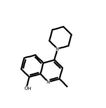 Cc1cc(N2CCCCC2)c2cccc(O)c2n1